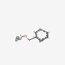 [CH2]C(CC)OCc1ccccc1